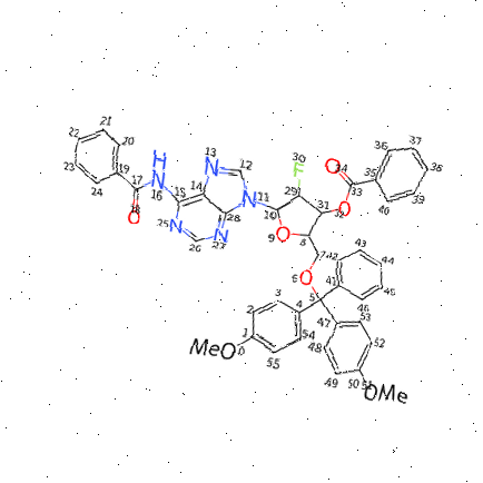 COc1ccc(C(OCC2OC(n3cnc4c(NC(=O)c5ccccc5)ncnc43)C(F)C2OC(=O)c2ccccc2)(c2ccccc2)c2ccc(OC)cc2)cc1